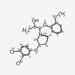 COc1ccccc1OC(C(C)O)N1CCC(Oc2ccc(Cl)c(Cl)c2)C1